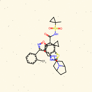 CC1(S(=O)(=O)NC(=O)c2ccc3nc(N4C5CCC4CC(NCc4c(-c6ccccc6C(F)(F)F)noc4C4CC4)C5)sc3c2)CC1